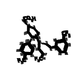 O=C(O)C[C@@H]1CCN([C@H](CCc2cccc(C(F)(F)F)c2)CCC(F)(F)F)[C@H](c2ccc(C(F)(F)F)cc2)C1